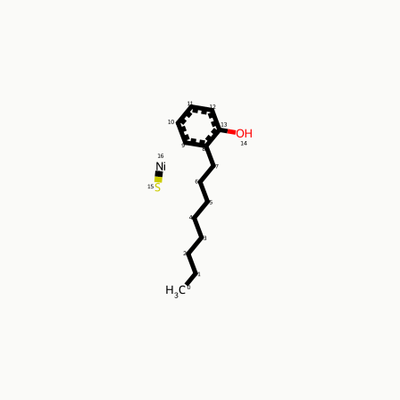 CCCCCCCCc1ccccc1O.[S]=[Ni]